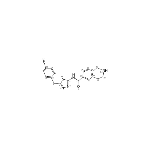 O=C(Nc1nnc(Cc2ccc(F)cc2)s1)c1ccc2c(c1)CCNC2